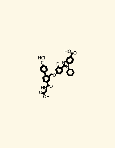 Cl.O=C(O)CNC(=O)c1ccc(-c2ccc(Cl)cc2)c(COc2ccc(-c3nc4cc(C(=O)O)ccc4n3C3CCCCC3)c(F)c2)c1